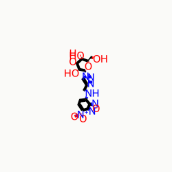 O=[N+]([O-])c1ccc(NCc2cn([C@@H]3O[C@H](CO)[C@@H](O)[C@H](O)[C@H]3O)nn2)c2nonc12